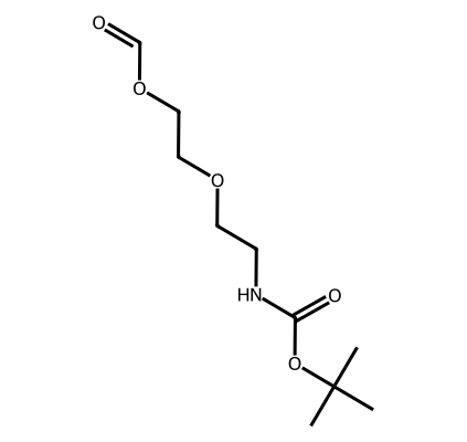 CC(C)(C)OC(=O)NCCOCCOC=O